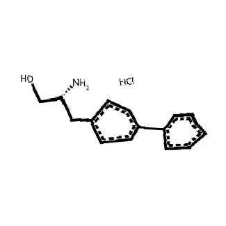 Cl.N[C@@H](CO)Cc1ccc(-c2ccccc2)cc1